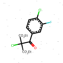 CCOC(=O)C(Cl)(C(=O)OCC)C(=O)c1ccc(Cl)c(F)c1